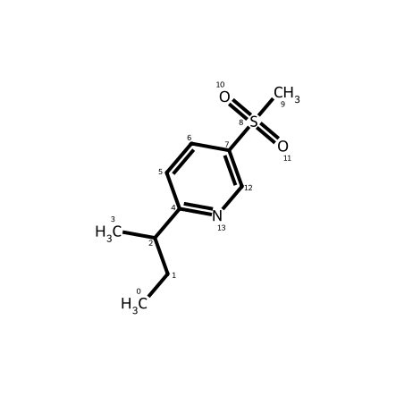 CCC(C)c1ccc(S(C)(=O)=O)cn1